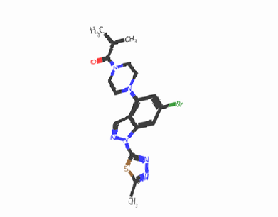 Cc1nnc(-n2ncc3c(N4CCN(C(=O)C(C)C)CC4)cc(Br)cc32)s1